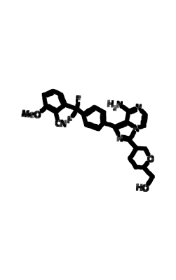 COc1cccc(C(F)(F)c2ccc(-c3nc(C4CCC(CO)OC4)n4ccnc(N)c34)cc2)c1C#N